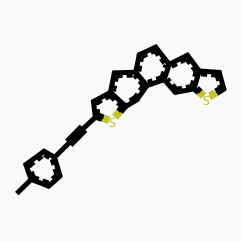 Cc1ccc(C#Cc2cc3cc4ccc5cc6ccsc6cc5c4cc3s2)cc1